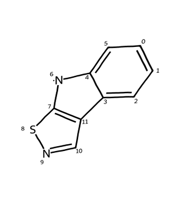 c1ccc2c(c1)[N]c1sncc1-2